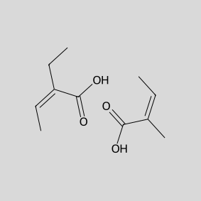 CC=C(C)C(=O)O.CC=C(CC)C(=O)O